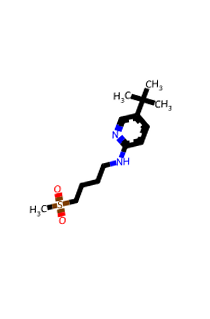 CC(C)(C)c1ccc(NCCCCS(C)(=O)=O)nc1